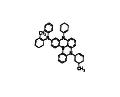 CC1=C(N(c2ccccc2)c2ccc3c(c2)N(C2=CCCC=C2)c2cccc4c2B3c2ccccc2N4C2=CC(C)CC=C2)CCC=C1